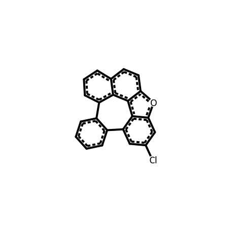 Clc1cc2c3c(c1)oc1ccc4cccc(c4c13)-c1ccccc1-2